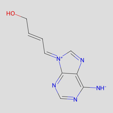 [NH-]c1ncnc2c1N=C[N+]2=CC=CCO